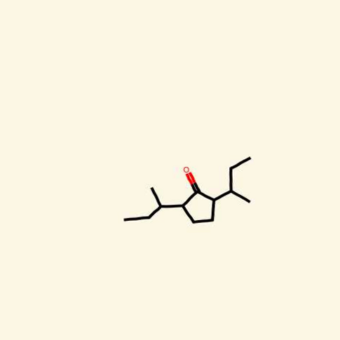 CCC(C)C1CCC(C(C)CC)C1=O